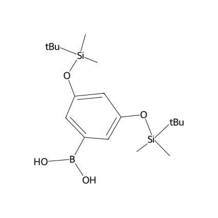 CC(C)(C)[Si](C)(C)Oc1cc(O[Si](C)(C)C(C)(C)C)cc(B(O)O)c1